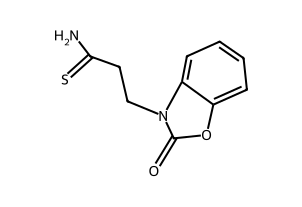 NC(=S)CCn1c(=O)oc2ccccc21